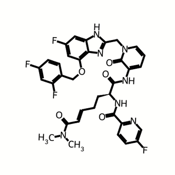 CN(C)C(=O)/C=C/CC[C@H](NC(=O)c1ccc(F)cn1)C(=O)Nc1cccn(Cc2nc3c(OCc4ccc(F)cc4F)cc(F)cc3[nH]2)c1=O